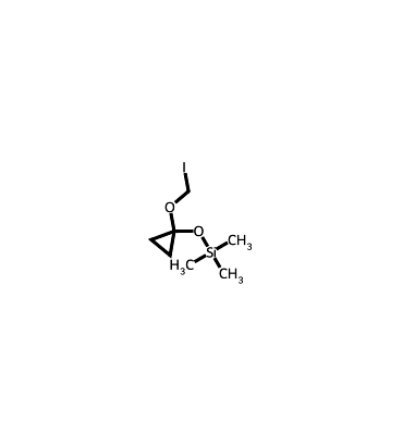 C[Si](C)(C)OC1(OCI)CC1